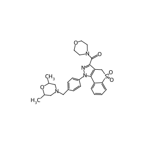 CC1CN(Cc2ccc(-n3nc(C(=O)N4CCOCC4)c4c3-c3ccccc3S(=O)(=O)C4)cc2)CC(C)O1